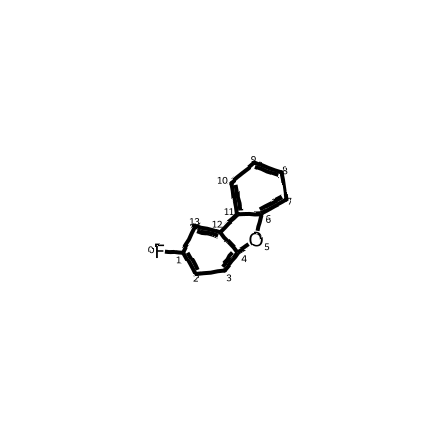 Fc1ccc2oc3cc[c]cc3c2c1